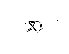 O=P12c3nnn1c32